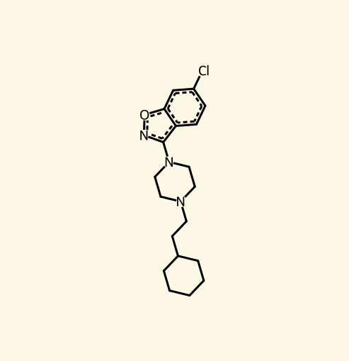 Clc1ccc2c(N3CCN(CCC4CCCCC4)CC3)noc2c1